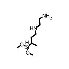 CO[SiH](OC)C(C)CCNCCN